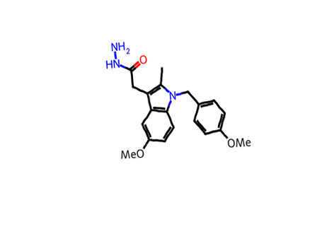 COc1ccc(Cn2c(C)c(CC(=O)NN)c3cc(OC)ccc32)cc1